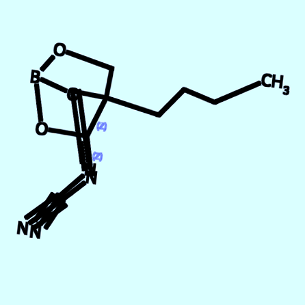 CCCCC12COB(O/C1=N\C#N)O/C2=N\C#N